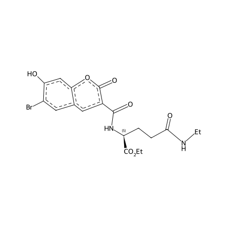 CCNC(=O)CC[C@H](NC(=O)c1cc2cc(Br)c(O)cc2oc1=O)C(=O)OCC